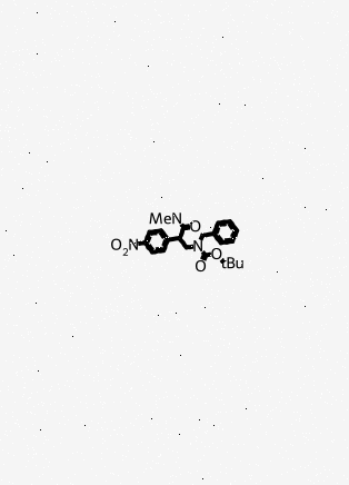 CNC(=O)C(CN(Cc1ccccc1)C(=O)OC(C)(C)C)c1ccc([N+](=O)[O-])cc1